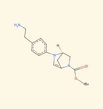 CC(C)(C)OC(=O)N1C[C@H]2CC1=CN2c1ccc(CCN)cc1